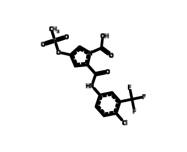 CS(=O)(=O)Oc1cc(C(=O)Nc2ccc(Cl)c(C(F)(F)F)c2)n(C(=O)O)c1